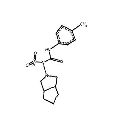 Cc1ccc(NC(=O)N(N2CC3CCCC3C2)[SH](=O)=O)cc1